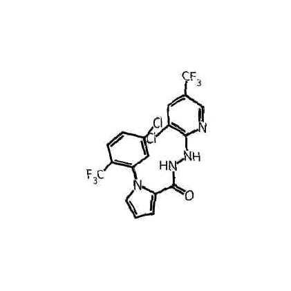 O=C(NNc1ncc(C(F)(F)F)cc1Cl)c1cccn1-c1cc(Cl)ccc1C(F)(F)F